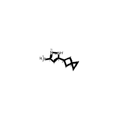 Nc1cc(C2CC3(CC3)C2)[nH]n1